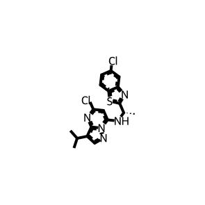 CC(C)c1cnn2c(N[C@@H](C)c3nc4cc(Cl)ccc4s3)cc(Cl)nc12